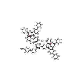 N#Cc1ccc(-c2cccc(-c3nc(-c4ccc(-n5c6ccc(-c7ccccc7)cc6c6cc(-c7ccccc7)ccc65)c(-c5ccccc5C#N)c4)nc(-c4ccc(-n5c6ccc(-c7ccccc7)cc6c6cc(-c7ccccc7)ccc65)c(-c5ccccc5C#N)c4)n3)c2)cc1